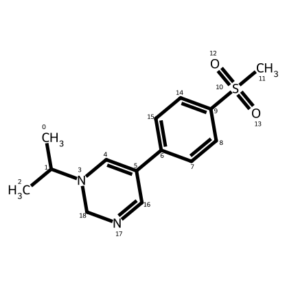 CC(C)N1C=C(c2ccc(S(C)(=O)=O)cc2)C=NC1